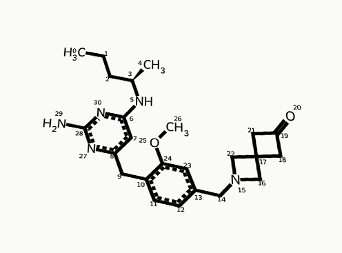 CCC[C@@H](C)Nc1cc(Cc2ccc(CN3CC4(CC(=O)C4)C3)cc2OC)nc(N)n1